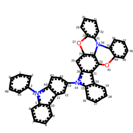 c1ccc(-n2c3ccccc3c3cc(-n4c5ccccc5c5c6c7c(cc54)Oc4ccccc4N7c4ccccc4O6)ccc32)cc1